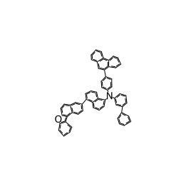 c1ccc(-c2cccc(N(c3ccc(-c4cc5ccccc5c5ccccc45)cc3)c3cccc4c(-c5ccc6c(ccc7oc8ccccc8c76)c5)cccc34)c2)cc1